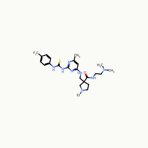 CCN1CCC(CNc2cc(C)nc(NC(=S)Nc3ccc(C(F)(F)F)cc3)n2)(C(=O)NCCN(C)C)C1